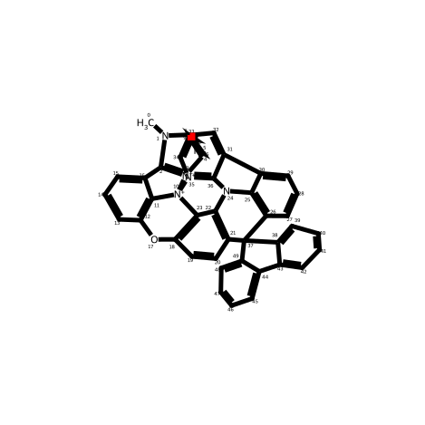 Cn1c2[n+](c3ncccc31)[N+]13c4c(cccc4-2)Oc2ccc4c(c21)-n1c2c(cccc2c2ccc[n+]3c21)C41c2ccccc2-c2ccccc21